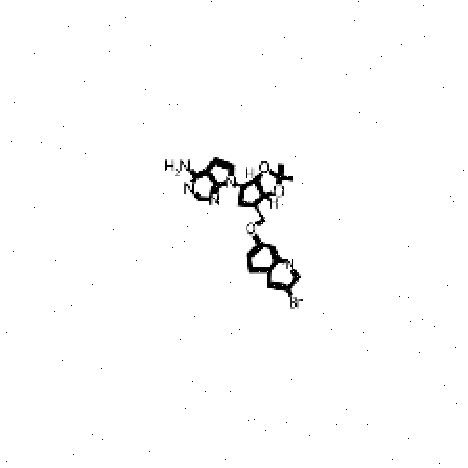 CC1(C)O[C@@H]2[C@@H](COc3ccc4cc(Br)cnc4c3)C[C@@H](n3ccc4c(N)ncnc43)[C@@H]2O1